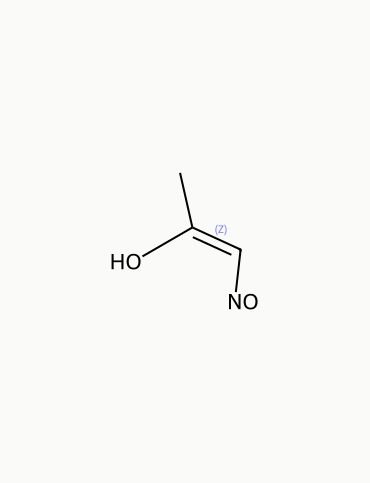 C/C(O)=C/N=O